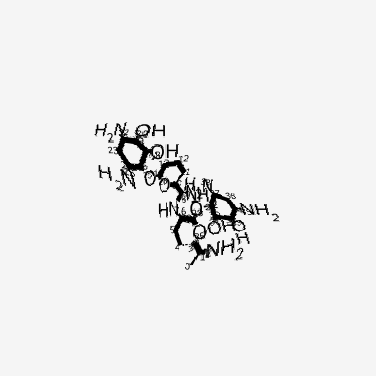 C[C@H](N)[C@@H]1CC[C@@H](N[C@@H](N)[C@@H]2CCC[C@@H](O[C@H]3[C@H](O)[C@@H](O)[C@H](N)C[C@@H]3N)O2)[C@@H](O[C@H]2[C@H](O)[C@@H](O)[C@H](N)C[C@@H]2N)O1